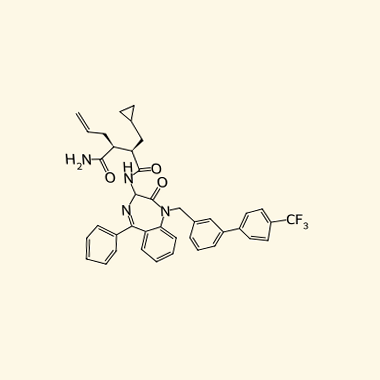 C=CC[C@H](C(N)=O)[C@@H](CC1CC1)C(=O)NC1N=C(c2ccccc2)c2ccccc2N(Cc2cccc(-c3ccc(C(F)(F)F)cc3)c2)C1=O